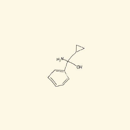 NC(O)(c1ccccc1)C1CC1